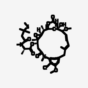 COc1cc2cc(c1Cl)N(C)C(=O)C[C@H](OC(=O)[C@H](C)N(C)C(=O)CC(C)(C)SC)[C@]1(C)O[C@H]1[C@H](C)[C@@H]1C[C@@](O)(NC(=O)O1)[C@H](OC)/C=C/C=C(\C)C2